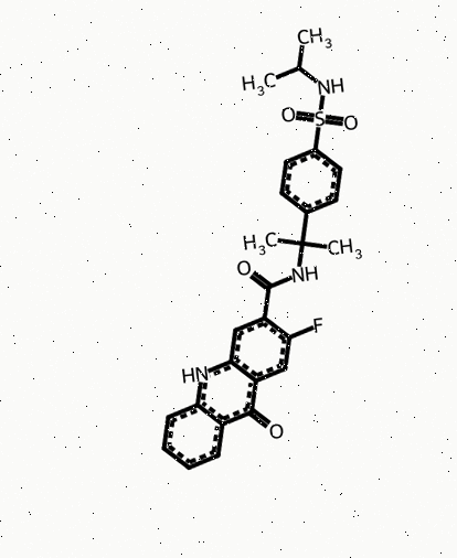 CC(C)NS(=O)(=O)c1ccc(C(C)(C)NC(=O)c2cc3[nH]c4ccccc4c(=O)c3cc2F)cc1